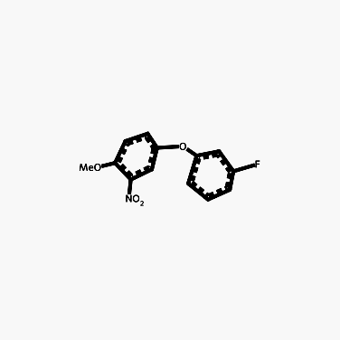 COc1ccc(Oc2cccc(F)c2)cc1[N+](=O)[O-]